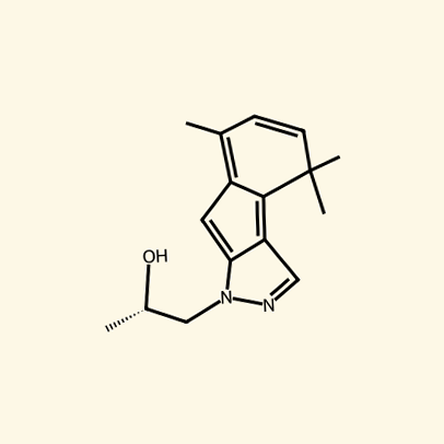 CC1=C2C=c3c(cnn3C[C@H](C)O)=C2C(C)(C)C=C1